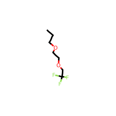 CCCOCCOCC(F)(F)F